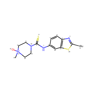 CC(C)(C)c1nc2ccc(NC(=S)N3CC[N+](C)([O-])CC3)cc2s1